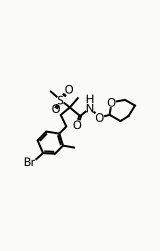 Cc1cc(Br)ccc1CCC(C)(C(=O)NOC1CCCCO1)S(C)(=O)=O